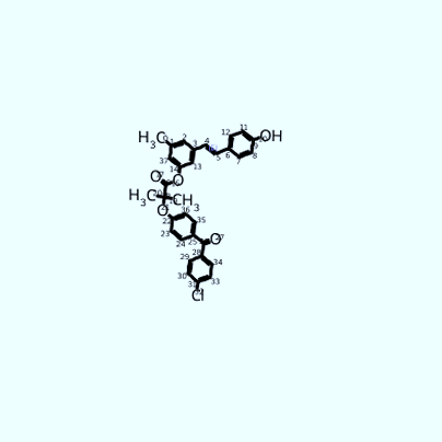 Cc1cc(/C=C/c2ccc(O)cc2)cc(OC(=O)C(C)(C)Oc2ccc(C(=O)c3ccc(Cl)cc3)cc2)c1